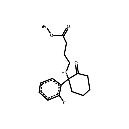 CC(C)OC(=O)CCCNC1(c2ccccc2Cl)CCCCC1=O